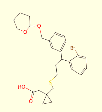 O=C(O)CC1(CSCCC(c2cccc(COC3CCCCO3)c2)c2ccccc2Br)CC1